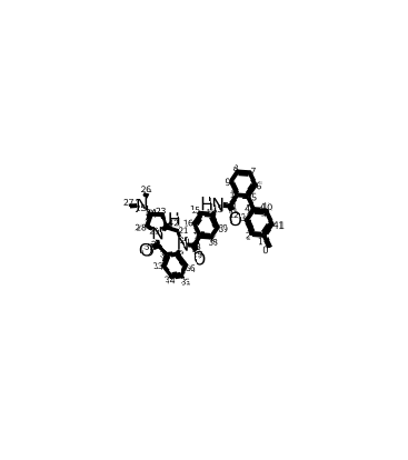 Cc1ccc(-c2ccccc2C(=O)Nc2ccc(C(=O)N3C[C@H]4C[C@@H](N(C)C)CN4C(=O)c4ccccc43)cc2)cc1